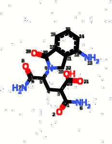 NC(=O)C(CC(C(N)=O)N1Cc2c(N)cccc2C1=O)C(=O)O